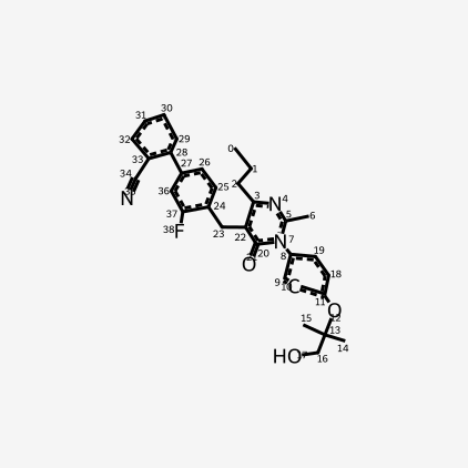 CCCc1nc(C)n(-c2ccc(OC(C)(C)CO)cc2)c(=O)c1Cc1ccc(-c2ccccc2C#N)cc1F